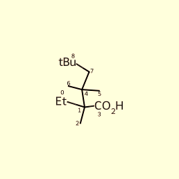 CCC(C)(C(=O)O)C(C)(C)CC(C)(C)C